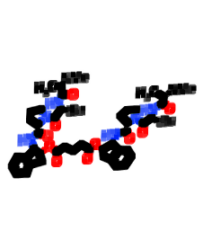 CN[C@@H](C)C(=O)N[C@H](C(=O)N1CCC[C@H]1C(=O)NC1c2ccccc2C[C@@H]1OC(=O)CCCC(=O)O[C@H]1Cc2ccccc2[C@@H]1NC(=O)[C@@H]1CCCN1C(=O)[C@@H](NC(=O)[C@H](C)NC)C(C)(C)C)C(C)(C)C